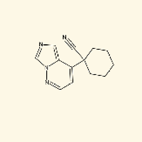 N#CC1(c2ccnn3cncc23)CCCCC1